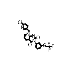 O=c1nc2n(Cc3ccc(Cl)nc3)cccc-2c(=O)n1-c1cccc(OCC(F)(F)F)c1